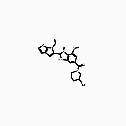 CCn1c(C2Nc3cc(C(=O)N4CCCC(N)C4)cc(OC)c3N2C)cc2ccoc21